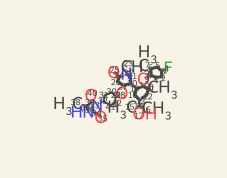 Cc1cc(F)cc(C)c1Oc1ccc(C(C)(C)O)cc1-c1cn(C)c(=O)cc1O[C@H]1CC[C@H](N2C(=O)N[C@@H](C)C2=O)CC1